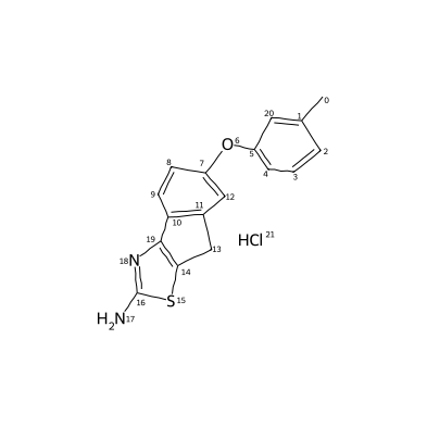 Cc1cccc(Oc2ccc3c(c2)Cc2sc(N)nc2-3)c1.Cl